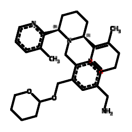 CC1=C([C@@H]2CCC[C@H](c3ncccc3C)N2Cc2ccc(CN)cc2COC2CCCCO2)N=CCC1